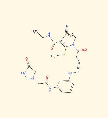 CCNC(=O)/C(C#N)=C(\SC)N(CC)C(=O)C/C=C\Nc1cccc(NC(=O)CN2CNC(=O)C2)c1